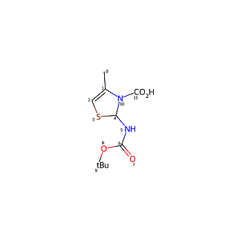 CC1=CSC(NC(=O)OC(C)(C)C)N1C(=O)O